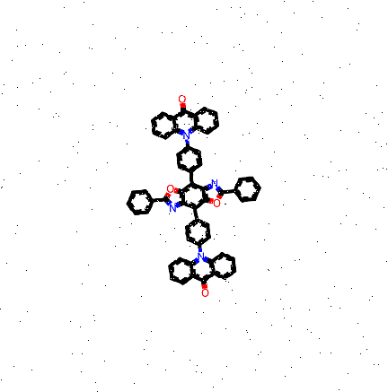 O=c1c2ccccc2n(-c2ccc(-c3c4nc(-c5ccccc5)oc4c(-c4ccc(-n5c6ccccc6c(=O)c6ccccc65)cc4)c4nc(-c5ccccc5)oc34)cc2)c2ccccc12